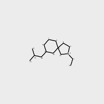 CCN1CCC2(CCCC(CC(C)C)C2)C1